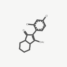 CC(=O)OC1=C(c2ccc(Cl)cc2Cl)C(=O)C2CCCCC12